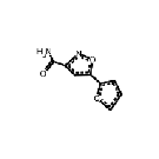 NC(=O)c1cc(-c2ccco2)on1